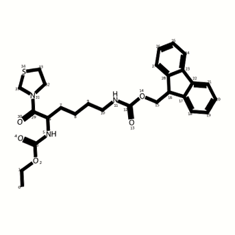 CCOC(=O)NC(CCCCNC(=O)OCC1c2ccccc2-c2ccccc21)C(=O)N1CCSC1